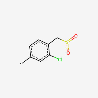 [CH2]c1ccc(C[SH](=O)=O)c(Cl)c1